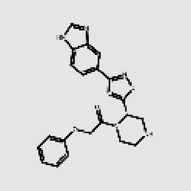 O=C(COc1ccccc1)N1CCNC[C@@H]1c1nc(-c2ccc3[nH]cnc3c2)no1